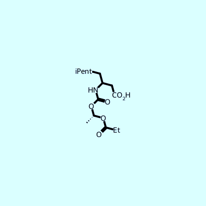 CCCC(C)CC(CC(=O)O)NC(=O)O[C@@H](C)OC(=O)CC